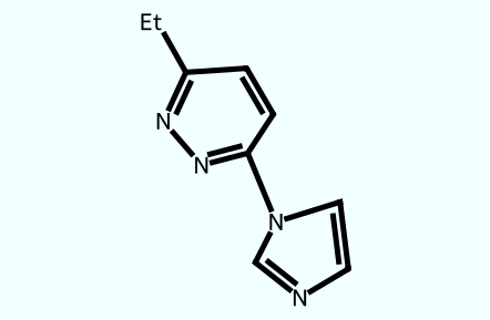 CCc1ccc(-n2ccnc2)nn1